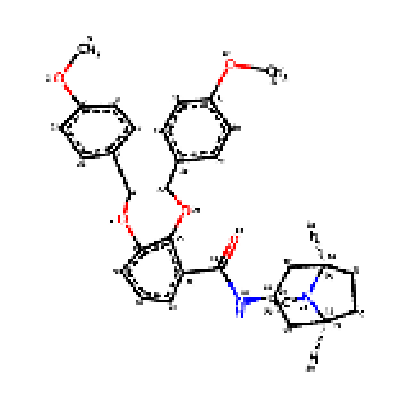 COc1ccc(COc2cccc(C(=O)N[C@H]3C[C@H]4CC[C@@H](C3)N4C)c2OCc2ccc(OC)cc2)cc1